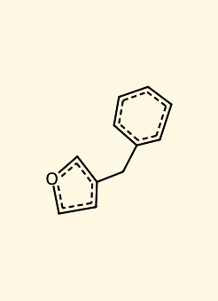 c1ccc(Cc2ccoc2)cc1